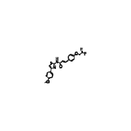 COc1ccc(-c2csc(NC(=O)C=Cc3ccc(OCC(F)F)cc3)n2)cc1